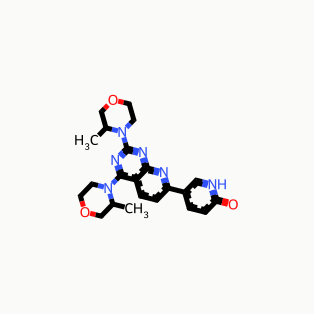 CC1COCCN1c1nc(N2CCOCC2C)c2ccc(-c3ccc(=O)[nH]c3)nc2n1